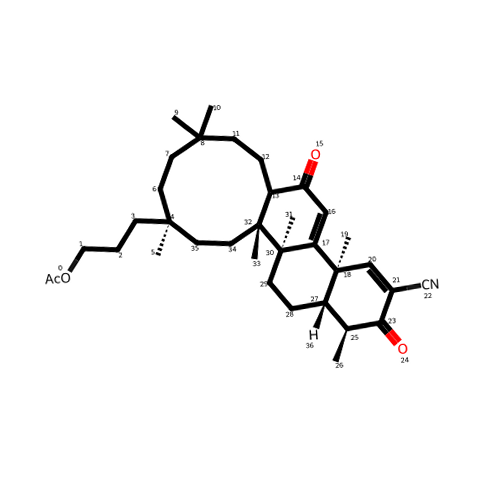 CC(=O)OCCC[C@@]1(C)CCC(C)(C)CCC2C(=O)C=C3[C@@]4(C)C=C(C#N)C(=O)[C@@H](C)[C@@H]4CC[C@@]3(C)[C@]2(C)CC1